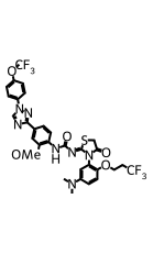 COc1cc(-c2ncn(-c3ccc(OC(F)(F)F)cc3)n2)ccc1NC(=O)/N=C1\SCC(=O)N1c1cc(N(C)C)ccc1OCCC(F)(F)F